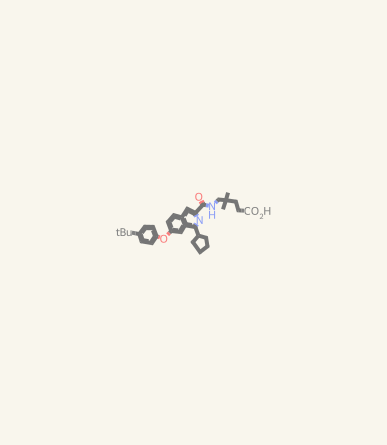 CC(C)(CCC(=O)O)CNC(=O)c1cc2ccc(Oc3ccc(C(C)(C)C)cc3)cc2c(C2CCCC2)n1